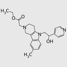 CCOC(=O)CN1CCc2c(c3cc(C)ccc3n2CC(O)c2ccncc2)C1